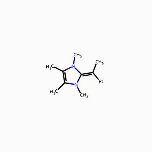 CCC(C)=C1N(C)C(C)=C(C)N1C